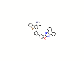 C=Cc1cc(-c2cccc(-c3ccc4oc5nc6c7ccccc7c7ccccc7c6nc5c4c3)c2)c2sc3ccccc3c2c1/C=C\C